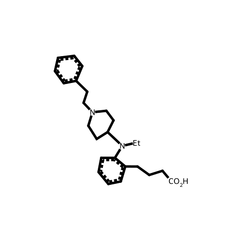 CCN(c1ccccc1CCCC(=O)O)C1CCN(CCc2ccccc2)CC1